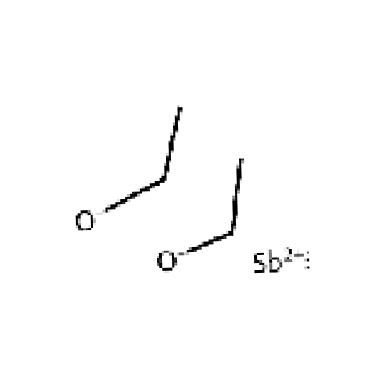 CC[O-].CC[O-].[Sb+2]